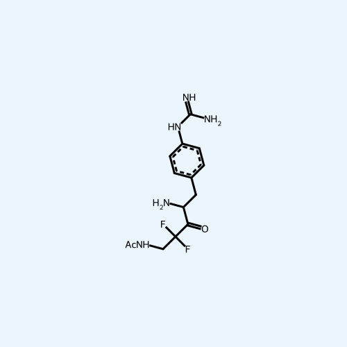 CC(=O)NCC(F)(F)C(=O)C(N)Cc1ccc(NC(=N)N)cc1